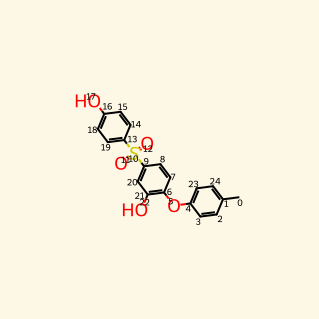 Cc1ccc(Oc2ccc(S(=O)(=O)c3ccc(O)cc3)cc2O)cc1